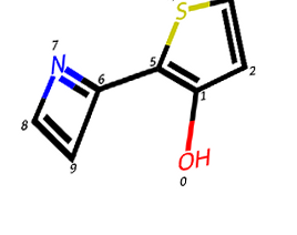 Oc1ccsc1C1=NC=C1